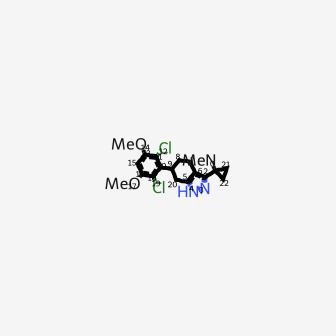 CNC1(c2n[nH]c3c2CCC(c2c(Cl)c(OC)cc(OC)c2Cl)C3)CC1